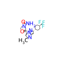 Cc1cc([C@H]2CN(C(N)=O)CCO2)n2nc([C@H]3CC[C@H](C(F)(F)F)CC3)cc2n1